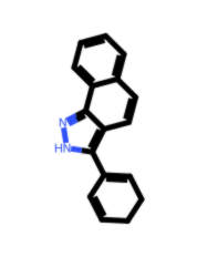 C1=CC(c2[nH]nc3c2ccc2ccccc23)=CCC1